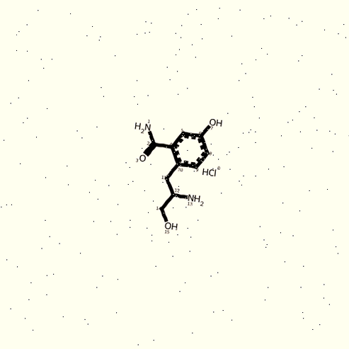 Cl.NC(=O)c1cc(O)ccc1CC(N)CO